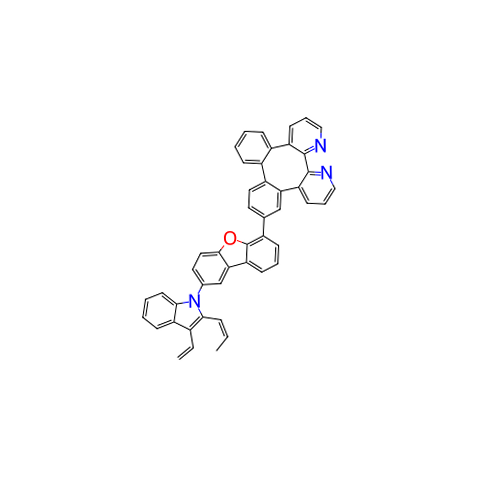 C=Cc1c(/C=C\C)n(-c2ccc3oc4c(-c5ccc6c(c5)-c5cccnc5-c5ncccc5-c5ccccc5-6)cccc4c3c2)c2ccccc12